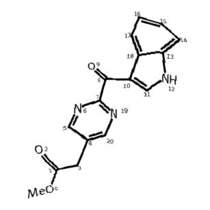 COC(=O)Cc1cnc(C(=O)c2c[nH]c3ccccc23)nc1